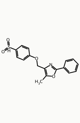 Cc1oc(-c2ccccc2)nc1COc1ccc([SH](=O)=O)cc1